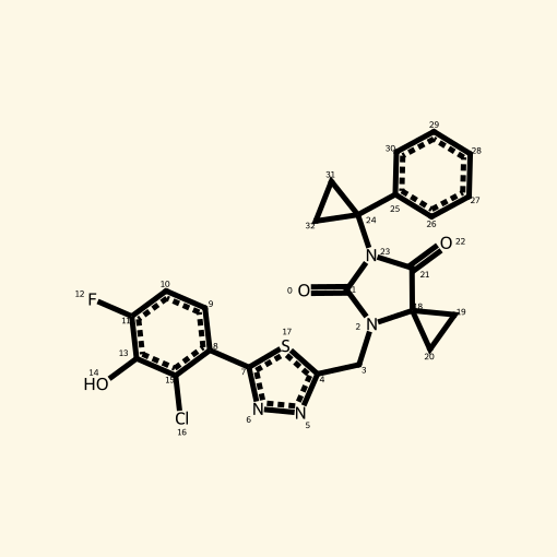 O=C1N(Cc2nnc(-c3ccc(F)c(O)c3Cl)s2)C2(CC2)C(=O)N1C1(c2ccccc2)CC1